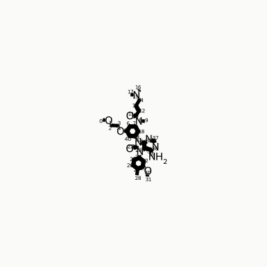 COCCOc1cc(N(C)C(=O)C=CCN(C)C)cc(-n2c(=O)n(-c3ccc(C)c(OC)c3)c3c(N)ncnc32)c1